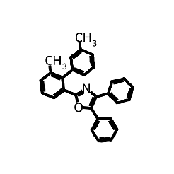 Cc1cccc(-c2c(C)cccc2-c2nc(-c3ccccc3)c(-c3ccccc3)o2)c1